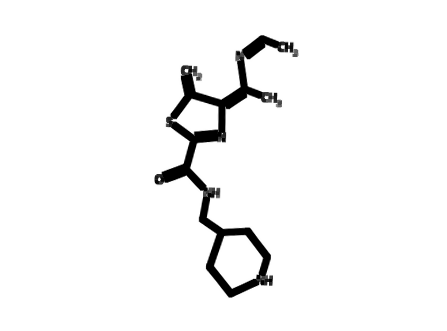 C=c1sc(C(=O)NCC2CCNCC2)n/c1=C(C)/N=C\C